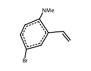 C=Cc1cc(Br)ccc1NC